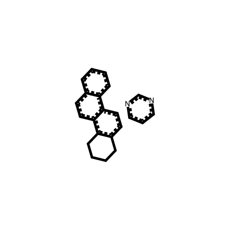 c1ccc2c(c1)ccc1c3c(ccc12)CCCC3.c1cncnc1